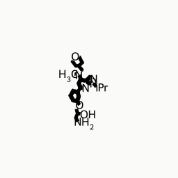 CC(C)n1ncc2c(N(C)CC3CCOCC3)cc(-c3cccc(OCC(O)CN)c3)nc21